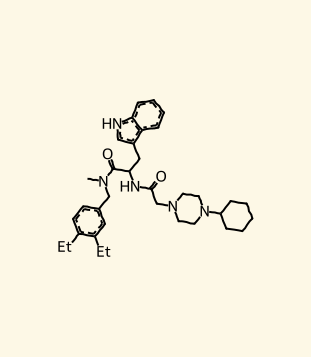 CCc1ccc(CN(C)C(=O)C(Cc2c[nH]c3ccccc23)NC(=O)CN2CCN(C3CCCCC3)CC2)cc1CC